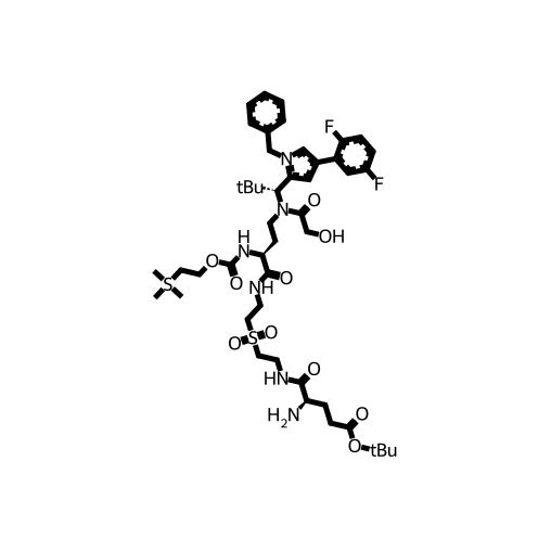 CC(C)(C)OC(=O)CC[C@@H](N)C(=O)NCCS(=O)(=O)CCNC(=O)[C@H](CCN(C(=O)CO)[C@@H](c1cc(-c2cc(F)ccc2F)cn1Cc1ccccc1)C(C)(C)C)NC(=O)OCCS(C)(C)C